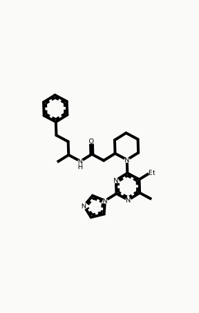 CCc1c(C)nc(-n2ccnc2)nc1N1CCCCC1CC(=O)NC(C)CCc1ccccc1